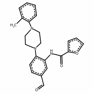 Cc1ccccc1N1CCN(c2ccc(C=O)cc2NC(=O)c2ccco2)CC1